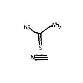 C#N.NC(=S)S